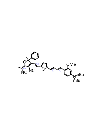 [C-]#[N+]C1=C(/C=C/c2ccc(/C=C/C=C/c3ccc(N(CCCC)CCCC)cc3OC)s2)C(C)(c2ccccc2)O/C1=C(\C)[N+]#[C-]